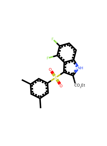 CCOC(=O)c1[nH]c2ccc(F)c(F)c2c1S(=O)(=O)c1cc(C)cc(C)c1